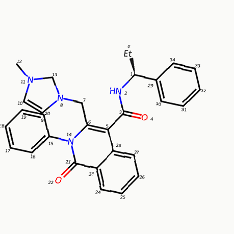 CC[C@H](NC(=O)c1c(CN2C=CN(C)C2)n(-c2ccccc2)c(=O)c2ccccc12)c1ccccc1